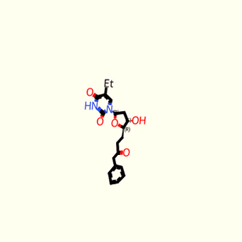 CCc1cn([C@H]2C[C@H](O)[C@@H](CCC(=O)Cc3ccccc3)O2)c(=O)[nH]c1=O